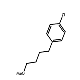 COCCCCc1ccc(Cl)cc1